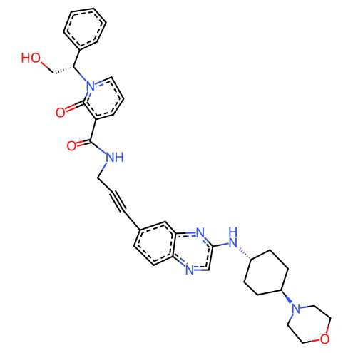 O=C(NCC#Cc1ccc2ncc(N[C@H]3CC[C@H](N4CCOCC4)CC3)nc2c1)c1cccn([C@H](CO)c2ccccc2)c1=O